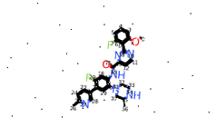 COc1cccc(F)c1-c1nccc(C(=O)Nc2cc(F)c(-c3ccc(C)nc3)cc2N2CCN[C@@H](C)C2)n1